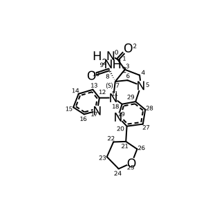 NC(=O)C1CN2C[C@@]1(C(N)=O)N(c1ccccn1)c1nc(C3CCCOC3)ccc12